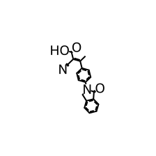 C/C(=C(/C#N)C(=O)O)c1ccc(N2Cc3ccccc3C2=O)cc1